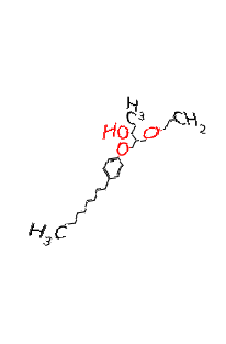 C=CCOCC(COc1ccc(CCCCCCCCC)cc1)C(O)CC